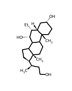 CC[C@H]1[C@@H](O)C2C(CC[C@@]3(C)C2CC[C@@H]3[C@H](C)CCO)C2(C)CC[C@@H](O)C[C@@H]12